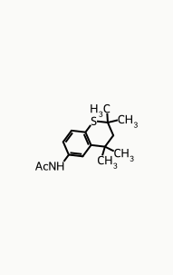 CC(=O)Nc1ccc2c(c1)C(C)(C)CC(C)(C)S2